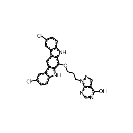 Oc1ncnc2c1cnn2CCCOc1c2[nH]c3ccc(Cl)cc3c2cc2c1[nH]c1ccc(Cl)cc12